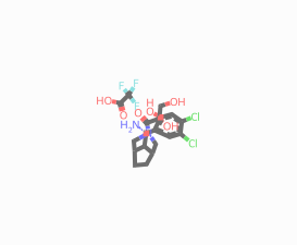 N[C@H](c1cc(Cl)c(Cl)cc1O)C1C2CCC1CN(C(=O)[C@H](O)CO)C2.O=C(O)C(F)(F)F